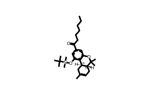 CCCCCCC(=O)c1cc2c(c(O[Si](C)(C)C(C)(C)C)c1)[C@@H]1CC(C)=CC[C@H]1C(C)(C)O2